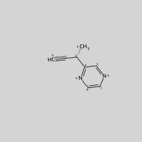 C#C[C@H](C)c1cnccn1